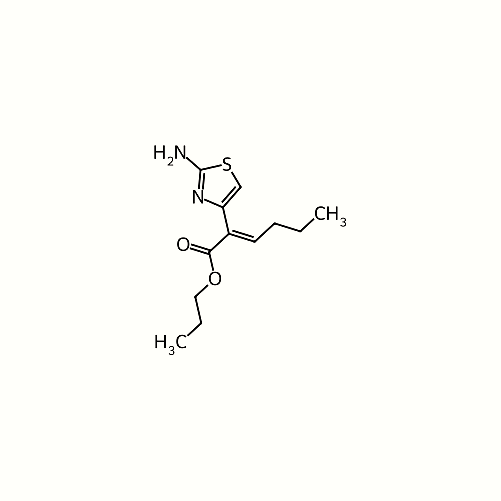 CCC/C=C(/C(=O)OCCC)c1csc(N)n1